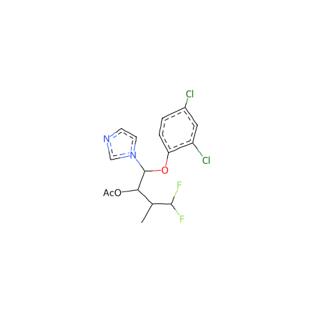 CC(=O)OC(C(C)C(F)F)C(Oc1ccc(Cl)cc1Cl)n1ccnc1